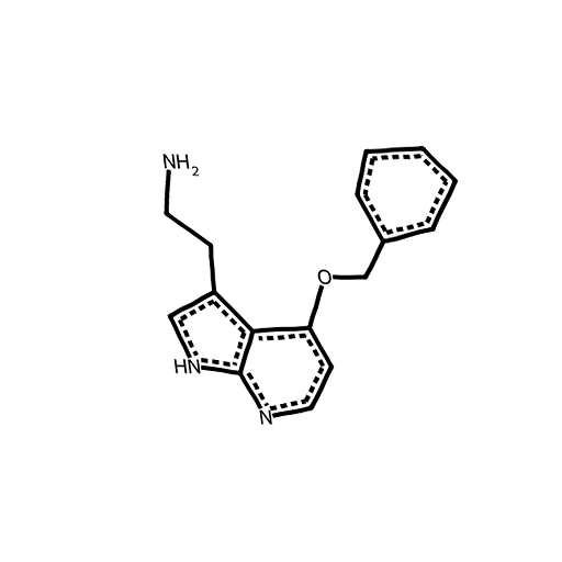 NCCc1c[nH]c2nccc(OCc3ccccc3)c12